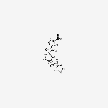 CNc1ccc(S(=O)(=O)c2cccc(S(=O)(=O)N3CCCC3)c2)s1